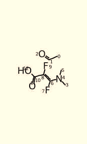 CC=O.CN(C)C(F)=C(F)C(=O)O